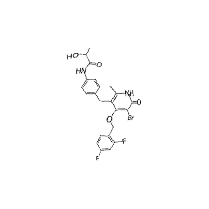 Cc1[nH]c(=O)c(Br)c(OCc2ccc(F)cc2F)c1Cc1ccc(NC(=O)C(C)O)cc1